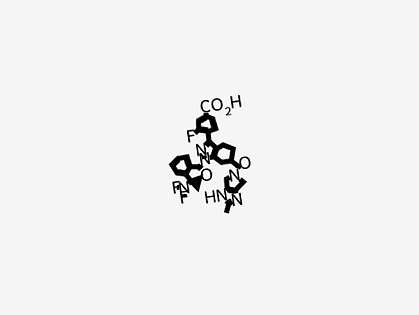 Cc1nc2c([nH]1)CN(C(=O)C1CCc3c(-c4ccc(C(=O)O)cc4F)nn(C(=O)c4ccccc4C4(N(F)F)CC4)c3C1)C2